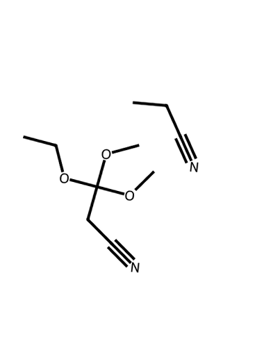 CCC#N.CCOC(CC#N)(OC)OC